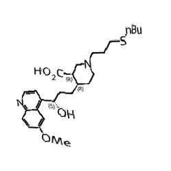 CCCCSCCCN1CC[C@@H](CC[C@H](O)c2ccnc3ccc(OC)cc23)[C@@H](C(=O)O)C1